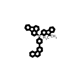 CC1(C)c2ccccc2-c2ccc(N(c3ccc(-c4ccc5ccc6ccccc6c5c4)cc3)c3ccc4c5c(cccc35)-c3ccccc3-4)cc21